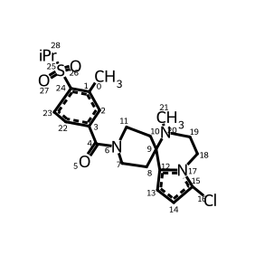 Cc1cc(C(=O)N2CCC3(CC2)c2ccc(Cl)n2CCN3C)ccc1S(=O)(=O)C(C)C